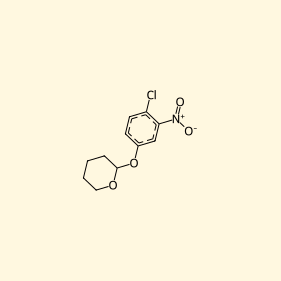 O=[N+]([O-])c1cc(OC2CCCCO2)ccc1Cl